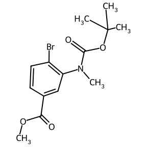 COC(=O)c1ccc(Br)c(N(C)C(=O)OC(C)(C)C)c1